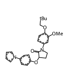 COc1cc(N2CCC(Oc3ccc(-n4cccc4)cc3)C2=O)ccc1OCC(C)(C)C